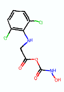 O=C(CNc1c(Cl)cccc1Cl)OC(=O)NO